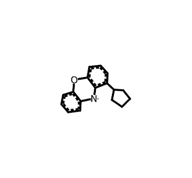 c1ccc2c(c1)[N]c1c(cccc1C1CCCC1)O2